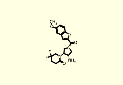 COc1ccc2oc(C(=O)N3C[C@H](N)[C@@H](N4CC(F)(F)CCC4=O)C3)cc2c1